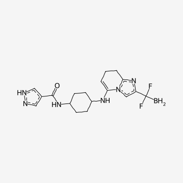 BC(F)(F)c1cn2c(n1)CCC=C2NC1CCC(NC(=O)c2cn[nH]c2)CC1